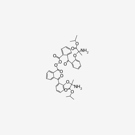 CC(C)OC(=O)C(C)(N)Oc1ccccc1C(=O)c1ccccc1C(=O)OOC(=O)c1ccccc1C(=O)c1ccccc1OC(C)(N)C(=O)OC(C)C